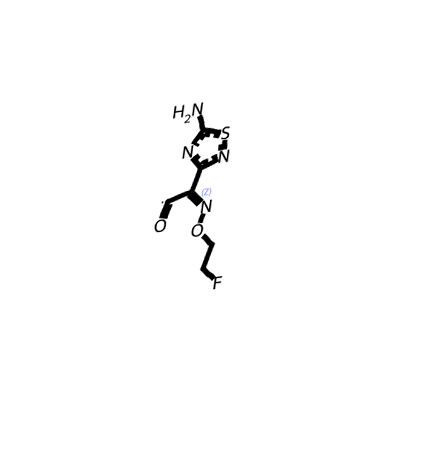 Nc1nc(/C([C]=O)=N/OCCF)ns1